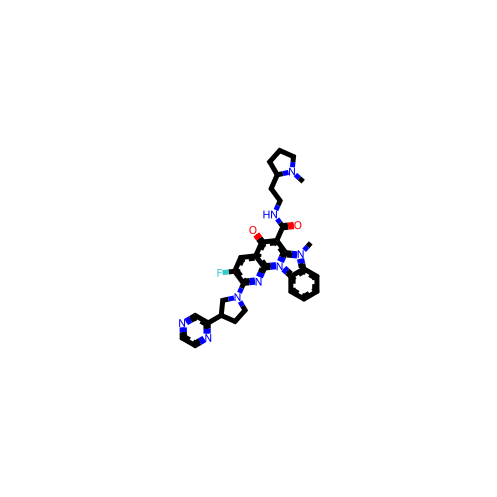 CN1CCCC1CCNC(=O)c1c(=O)c2cc(F)c(N3CCC(c4cnccn4)C3)nc2n2c3ccccc3n(C)c12